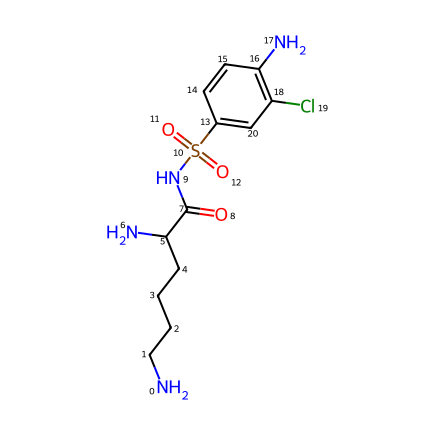 NCCCCC(N)C(=O)NS(=O)(=O)c1ccc(N)c(Cl)c1